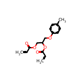 C=CC(=O)OCC(COc1ccc(C)cc1)OC(=O)C=C